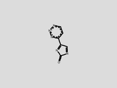 O=C1N=CC(c2ccnnn2)=N1